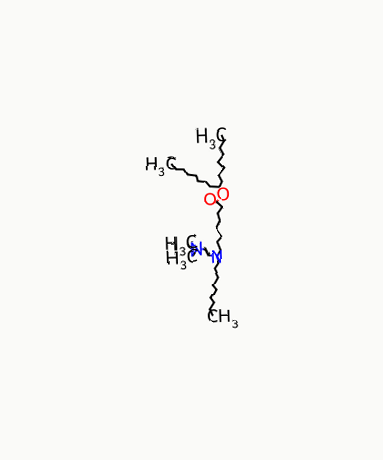 CCCCCCCCCN(CCCCCCCC(=O)OC(CCCCCCCC)CCCCCCCC)CCN(C)C